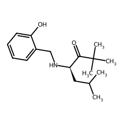 CC(C)C[C@@H](NCc1ccccc1O)C(=O)C(C)(C)C